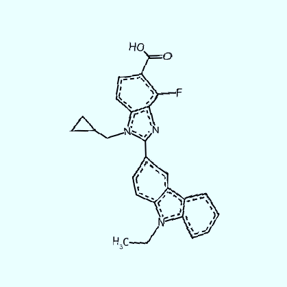 CCn1c2ccccc2c2cc(-c3nc4c(F)c(C(=O)O)ccc4n3CC3CC3)ccc21